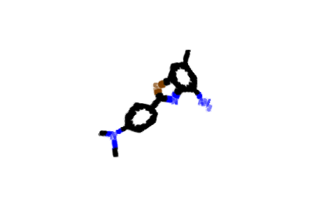 Cc1cc(N)c2nc(-c3ccc(N(C)C)cc3)sc2c1